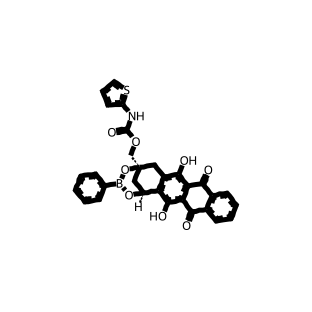 O=C(Nc1cccs1)OC[C@]12Cc3c(O)c4c(c(O)c3[C@H](C1)OB(c1ccccc1)O2)C(=O)c1ccccc1C4=O